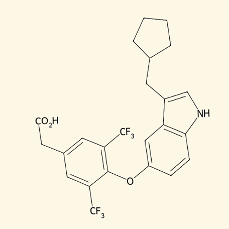 O=C(O)Cc1cc(C(F)(F)F)c(Oc2ccc3[nH]cc(CC4CCCC4)c3c2)c(C(F)(F)F)c1